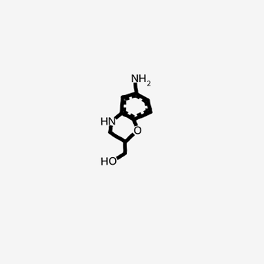 Nc1ccc2c(c1)NCC(CO)O2